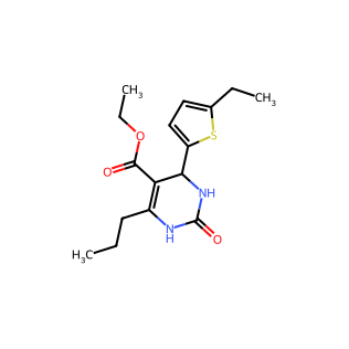 CCCC1=C(C(=O)OCC)C(c2ccc(CC)s2)NC(=O)N1